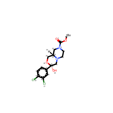 CC(C)(C)OC(=O)N1CCN2C[C@@](O)(c3ccc(Cl)c(Cl)c3)OC[C@@H]2C1